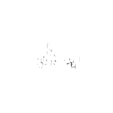 CC(C)(CCCC(=O)N1CCc2c(n(Cc3cncc(F)c3)c3ncccc23)C1)C(=O)O